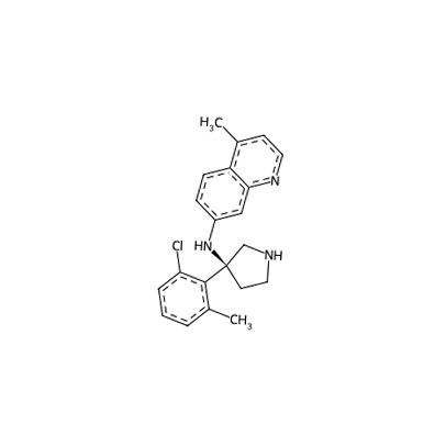 Cc1cccc(Cl)c1[C@@]1(Nc2ccc3c(C)ccnc3c2)CCNC1